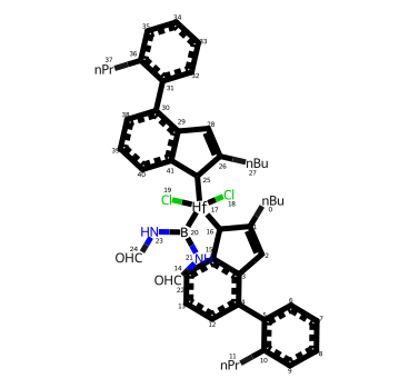 CCCCC1=Cc2c(-c3ccccc3CCC)cccc2[CH]1[Hf]([Cl])([Cl])([B](NC=O)NC=O)[CH]1C(CCCC)=Cc2c(-c3ccccc3CCC)cccc21